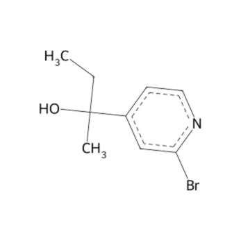 CCC(C)(O)c1ccnc(Br)c1